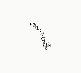 O=C1CC[C@@H](c2ccc(N3CCC(CN4CCC5(CNC5)C4)CC3)cc2)C(=O)N1